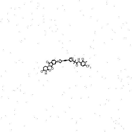 Cn1c(C(F)(F)F)ccc(NC(=O)C(C)(C)n2cc(C#CC3CN(c4ccc5c(c4)C(=O)N(C4CCC(=O)NC4=O)C5=O)C3)cn2)c1=O